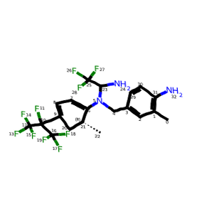 Cc1cc(CN(C2=CC=C(C(F)(C(F)(F)F)C(F)(F)F)C[C@H]2C)C(N)C(F)(F)F)ccc1N